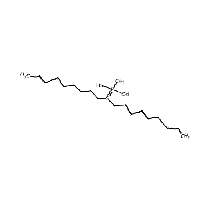 CCCCCCCCCS(CCCCCCCCC)=[P](O)(S)[Cd]